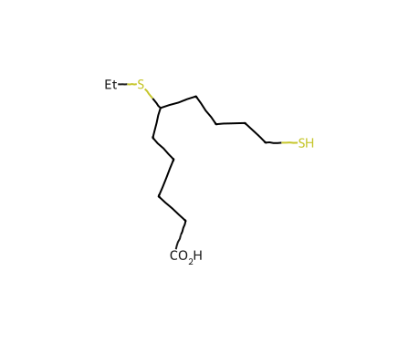 CCSC(CCCCS)CCCCC(=O)O